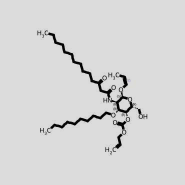 C=CCOC(=O)O[C@@H]1[C@H](OCCCCCCCCCC)[C@@H](NC(=O)CC(=O)CCCCCCCCCCC)[C@@H](O/C=C\C)O[C@@H]1CO